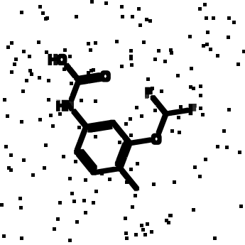 Cc1ccc(NC(=O)O)cc1OC(F)F